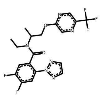 CCN(C(=O)c1cc(F)c(F)cc1-n1nccn1)C(C)COc1cnc(C(F)(F)F)cn1